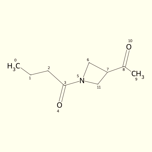 CCCC(=O)N1CC(C(C)=O)C1